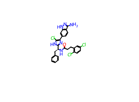 Nc1n[nH]c2cc(-c3nc([C@H](Cc4ccccc4)NC(=O)CCc4cc(Cl)ccc4Cl)[nH]c3Cl)ccc12